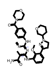 C=N/C(=N\C(Nc1cccc(C2=NN(C3CCCOC3)CC2)c1OC)=C(/C)C(N)=O)Nc1ccc(C(=O)N2CCOCC2)cc1